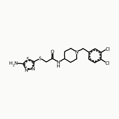 Nc1nnc(SCC(=O)NC2CCN(Cc3ccc(Cl)c(Cl)c3)CC2)s1